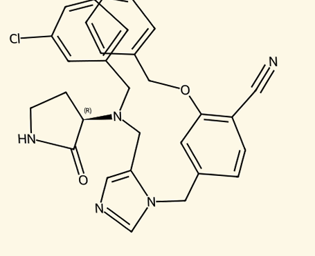 N#Cc1ccc(Cn2cncc2CN(Cc2cccc(Cl)c2)[C@@H]2CCNC2=O)cc1OCc1ccccc1